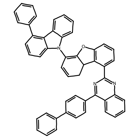 C1=CC(n2c3ccccc3c3c(-c4ccccc4)cccc32)=C2Oc3cccc(-c4nc(-c5ccc(-c6ccccc6)cc5)c5ccccc5n4)c3C2C1